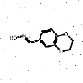 O/N=C/c1ccc2c(c1)OCCO2